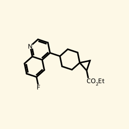 CCOC(=O)C1CC12CCC(c1ccnc3ccc(F)cc13)CC2